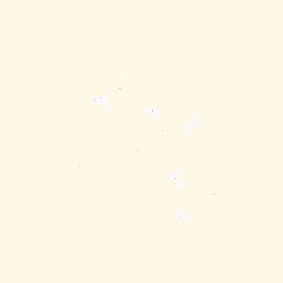 CO/N=C(\C(=O)NC1C(=O)NC1OC(C)=O)c1csc(N)n1